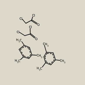 Cc1cc(C)cc(C)c1.Cc1cc(C)cc(C)c1.O=C(Cl)CCl.O=C(Cl)CCl